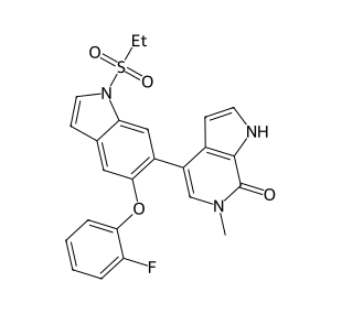 CCS(=O)(=O)n1ccc2cc(Oc3ccccc3F)c(-c3cn(C)c(=O)c4[nH]ccc34)cc21